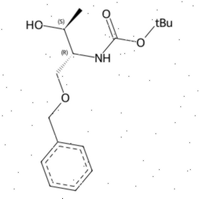 C[C@H](O)[C@@H](COCc1ccccc1)NC(=O)OC(C)(C)C